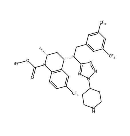 CC(C)OC(=O)N1c2ccc(C(F)(F)F)cc2[C@@H](N(Cc2cc(C(F)(F)F)cc(C(F)(F)F)c2)c2nnn(C3CCNCC3)n2)C[C@H]1C